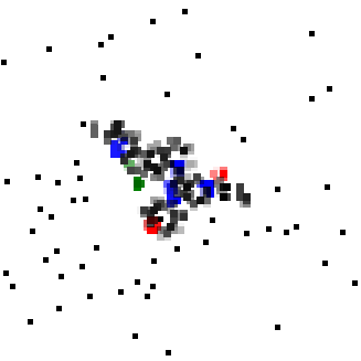 CC(=O)N1CCc2c(c(N3CCCc4cc(-c5cnn(C)c5)c(C(F)F)cc43)nn2C2CCCOCC2)C1